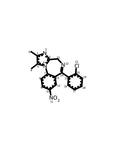 Cc1nc2n(c1C)-c1ccc([N+](=O)[O-])cc1C(c1ccccc1Cl)=NC2